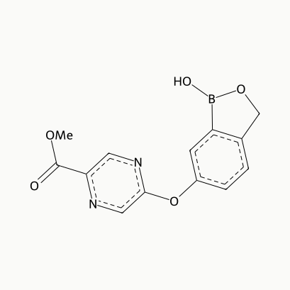 COC(=O)c1cnc(Oc2ccc3c(c2)B(O)OC3)cn1